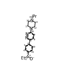 CC[S+]([O-])c1ccc(-c2ccc(N3CCN(C(C)C)CC3)nn2)cc1